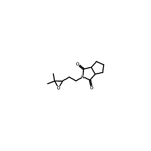 CC1(C)OC1CCN1C(=O)C2CCCC2C1=O